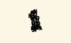 CC(C)(C)NC[C@@H](COc1nsnc1N1CCOCC1)OC(=O)OCC(=O)N(C1=NCCN1)c1ccc2nccnc2c1Br